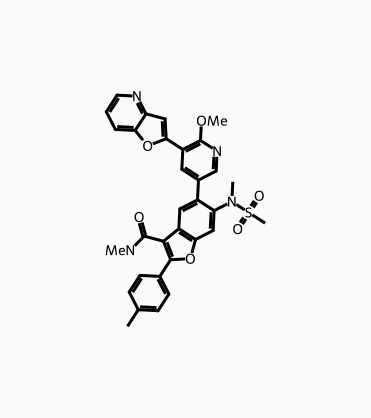 CNC(=O)c1c(-c2ccc(C)cc2)oc2cc(N(C)S(C)(=O)=O)c(-c3cnc(OC)c(-c4cc5ncccc5o4)c3)cc12